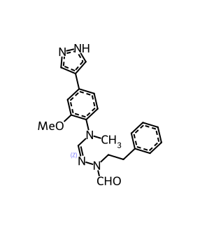 COc1cc(-c2cn[nH]c2)ccc1N(C)/C=N\N(C=O)CCc1ccccc1